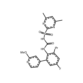 COc1cc(-c2cc(F)cc(C(C)C)c2NC(=O)NS(=O)(=O)c2nc(C)cc(C)n2)ccn1